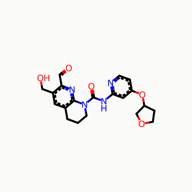 O=Cc1nc2c(cc1CO)CCCN2C(=O)Nc1cc(OC2CCOC2)ccn1